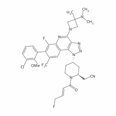 COc1c(Cl)cccc1-c1c(C(F)(F)F)cc2c(nc(N3CC(C)(N(C)C)C3)c3nnn([C@H]4CCN(C(=O)/C=C/CF)[C@H](CC#N)C4)c32)c1F